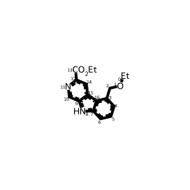 CCOCc1cccc2[nH]c3cnc(C(=O)OCC)cc3c12